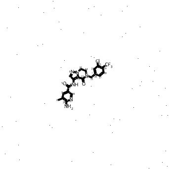 Cc1cc(C(=O)Nc2cnn3c2C(=O)N(Cc2ccc(C(F)(F)F)c(Cl)c2)CC3)cnc1N